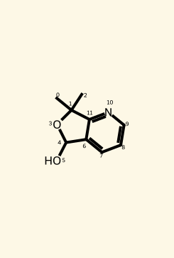 CC1(C)OC(O)c2cccnc21